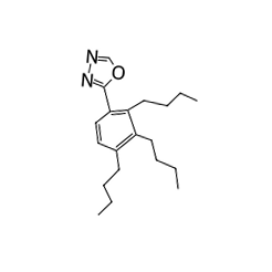 CCCCc1ccc(-c2nnco2)c(CCCC)c1CCCC